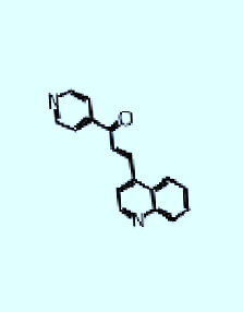 O=C(/C=C/c1ccnc2ccccc12)c1ccncc1